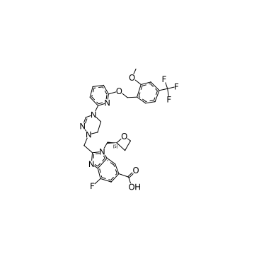 COc1cc(C(F)(F)F)ccc1COc1cccc(N2C=NN(Cc3nc4c(F)cc(C(=O)O)cc4n3C[C@@H]3CCO3)CC2)n1